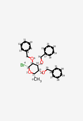 C[C@@H]1O[C@H](Br)[C@@H](OCc2ccccc2)[C@H](OCc2ccccc2)[C@@H]1OCc1ccccc1